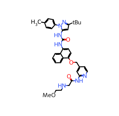 COCCNCC(=O)Nc1cc(COc2ccc(NC(=O)Nc3cc(C(C)(C)C)nn3-c3ccc(C)cc3)c3ccccc23)ccn1